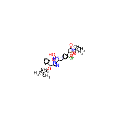 CC(C)(C)N1C(=O)CC(c2ccc(C[C@H](NC(=O)O)c3ncc(C(OCC[Si](C)(C)C)c4ccccc4)[nH]3)cc2Br)S1(=O)=O